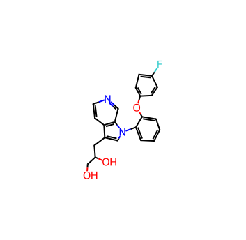 OCC(O)Cc1cn(-c2ccccc2Oc2ccc(F)cc2)c2cnccc12